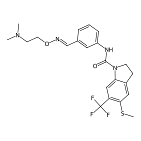 CSc1cc2c(cc1C(F)(F)F)N(C(=O)Nc1cccc(C=NOCCN(C)C)c1)CC2